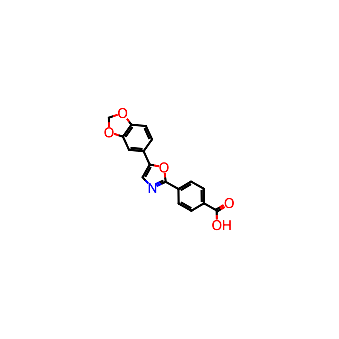 O=C(O)c1ccc(-c2ncc(-c3ccc4c(c3)OCO4)o2)cc1